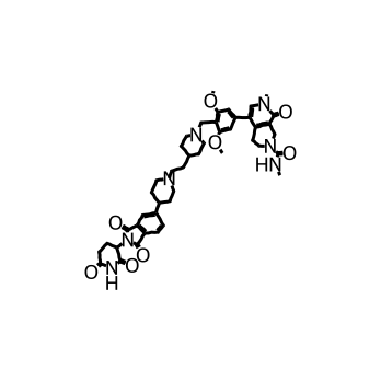 CNC(=O)N1CCc2c(-c3cc(OC)c(CN4CCC(CCN5CCC(c6ccc7c(c6)C(=O)N(C6CCC(=O)NC6=O)C7=O)CC5)CC4)c(OC)c3)cn(C)c(=O)c2C1